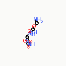 NCc1cccc(COc2ccc(NC(=O)NCc3ccc4c(c3)CN(C3CCC(=O)NC3=O)C4=O)cc2)c1